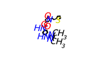 Cc1cc(C)nc(Nc2ccc(NC(=O)OC3CC(=O)N(CCc4cccs4)C3)cc2)n1